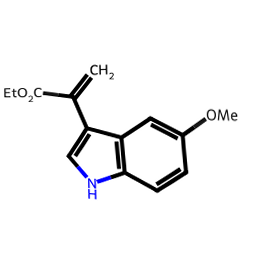 C=C(C(=O)OCC)c1c[nH]c2ccc(OC)cc12